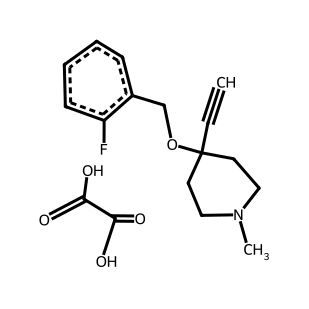 C#CC1(OCc2ccccc2F)CCN(C)CC1.O=C(O)C(=O)O